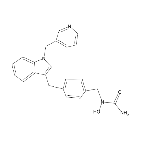 NC(=O)N(O)Cc1ccc(Cc2cn(Cc3cccnc3)c3ccccc23)cc1